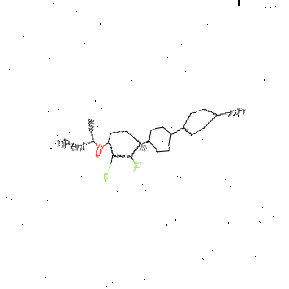 C#CC(CCCCC)OC1CC[C@@H](C2CCC(C3CCC(CCC)CC3)CC2)C(F)C1F